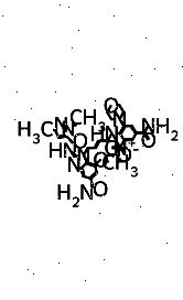 CCn1nc(C)cc1C(=O)Nc1nc2cc(C(N)=O)cc(OC)c2n1CC=CCNc1c(N2CCOCC2)cc(C(N)=O)cc1[N+](=O)[O-]